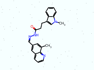 Cc1cc(/C=N\NC(=O)CCc2cn(C)c3ccccc23)cc2cccnc12